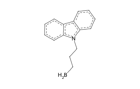 BCCCn1c2ccccc2c2ccccc21